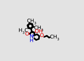 CCCCO[C@@H]1CCC[C@]2(C1)NC(=O)C(c1c(C)cc(C)cc1C)=C2O